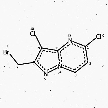 Clc1ccn2nc(CBr)c(Cl)c2n1